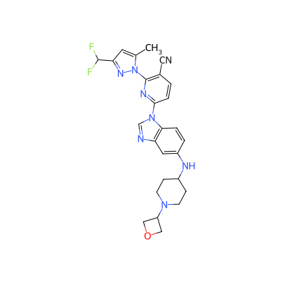 Cc1cc(C(F)F)nn1-c1nc(-n2cnc3cc(NC4CCN(C5COC5)CC4)ccc32)ccc1C#N